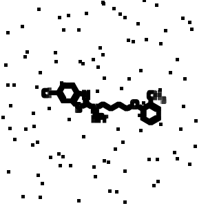 CCCN(CCCCOc1ccccc1C)c1nc2ccc(Cl)cc2s1